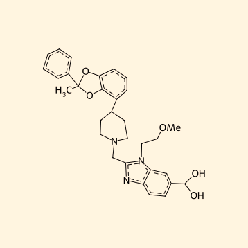 COCCn1c(CN2CCC(c3cccc4c3OC(C)(c3ccccc3)O4)CC2)nc2ccc(C(O)O)cc21